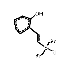 CC(C)[Si](Cl)(C=Cc1ccccc1O)C(C)C